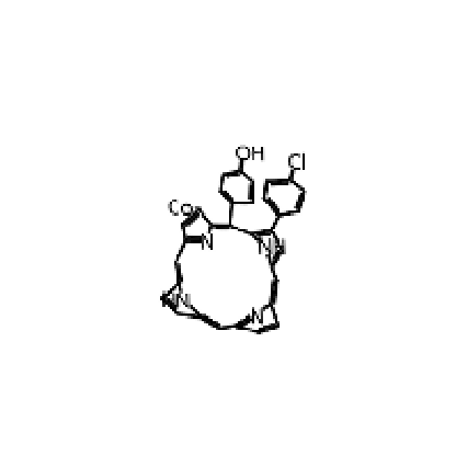 Oc1ccc(-c2c3nc(cc4ccc(cc5nc(cc6cc(-c7ccc(Cl)cc7)c2[nH]6)C=C5)[nH]4)C=C3)cc1.[Co]